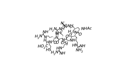 CC(=O)N[C@@H](CCCCNN=[N+]=[N-])C(=O)N(C)[C@@H](CCCNC(=N)N)C(=O)N[C@@H](CCCNC(=N)N)C(=O)N(C)[C@@H](CCCNC(=N)N)C(=O)N[C@@H](CCCNC(=N)N)C(=O)N[C@H](CS)C(=O)O